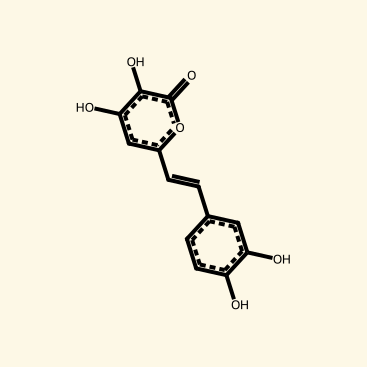 O=c1oc(/C=C/c2ccc(O)c(O)c2)cc(O)c1O